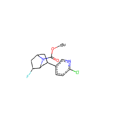 CC(C)(C)OC(=O)N1C2CC(F)C1C(c1ccc(Cl)nc1)C2